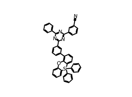 N#Cc1cccc(-c2nc(-c3ccccc3)nc(-c3cccc(-c4cccc5c4Oc4ccccc4[Si]5(c4ccccc4)c4ccccc4)c3)n2)c1